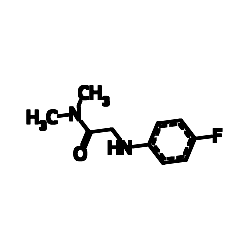 CN(C)C(=O)CNc1ccc(F)cc1